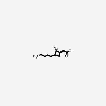 CCCCCC1CC(=CC(=O)[O-])C1.[Na+]